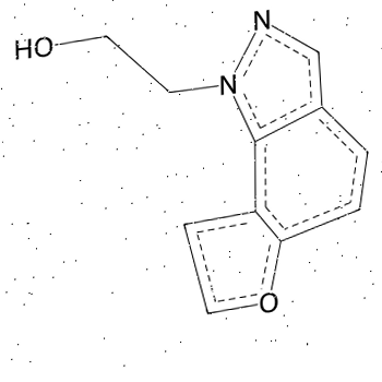 OCCn1ncc2ccc3occc3c21